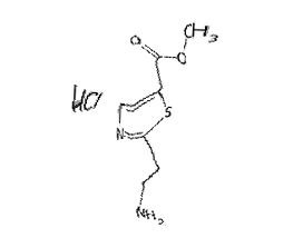 COC(=O)c1cnc(CCN)s1.Cl